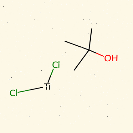 CC(C)(C)O.[Cl][Ti][Cl]